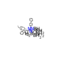 Bc1c(B)c(B)c(-c2nc(-c3ccc(-c4ccccc4)cc3)nc(-c3cc4c(c5ccccc35)-c3ccccc3C43C(C)CC4CC(CC)CC3C4)n2)c(B)c1B